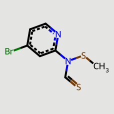 CSN(C=S)c1cc(Br)ccn1